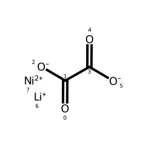 O=C([O-])C(=O)[O-].[Li+].[Ni+2]